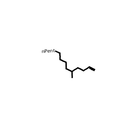 C=CCCC(C)CCCCCCCCC